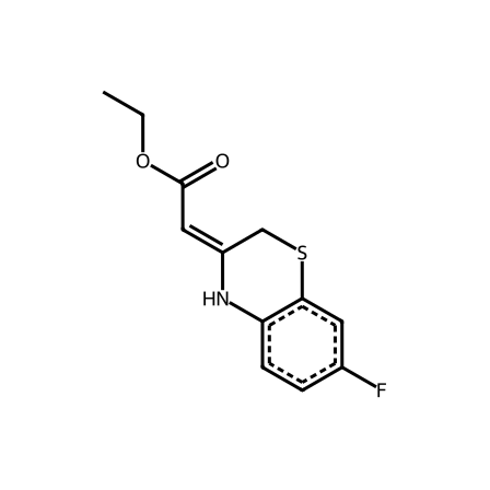 CCOC(=O)/C=C1\CSc2cc(F)ccc2N1